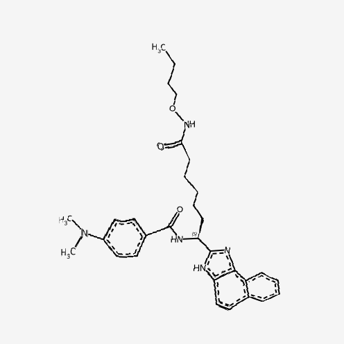 CCCCONC(=O)CCCCC[C@H](NC(=O)c1ccc(N(C)C)cc1)c1nc2c(ccc3ccccc32)[nH]1